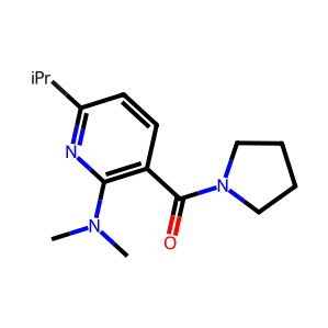 CC(C)c1ccc(C(=O)N2CCCC2)c(N(C)C)n1